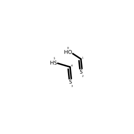 OC=S.S=CS